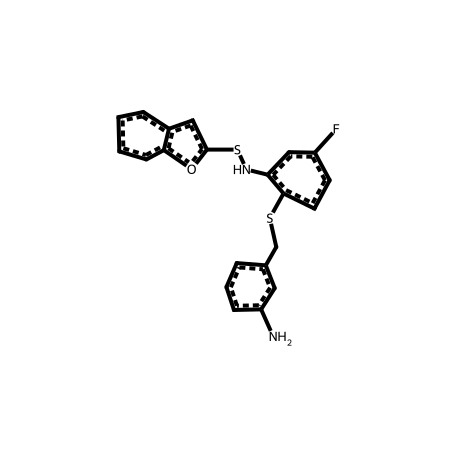 Nc1cccc(CSc2ccc(F)cc2NSc2cc3ccccc3o2)c1